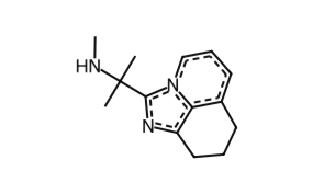 CNC(C)(C)c1nc2c3c(cccn13)CCC2